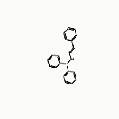 B(C=Cc1ccccc1)P(c1ccccc1)c1ccccc1